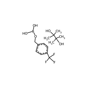 CC(C)(O)C(C)(C)O.OB(O)OCc1ccc(C(F)(F)F)cc1